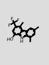 Cc1cc(C)c2[nH]c3c(O)cc(C(F)(F)F)c(C)c3c2c1